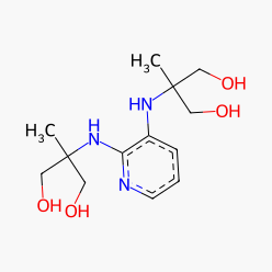 CC(CO)(CO)Nc1cccnc1NC(C)(CO)CO